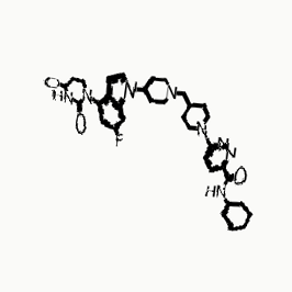 O=C1CCN(c2cc(F)cc3c2ccn3C2CCN(CC3CCN(c4ccc(C(=O)NC5CCCCC5)nn4)CC3)CC2)C(=O)N1